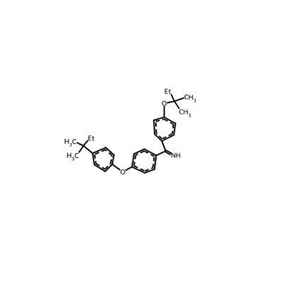 CCC(C)(C)Oc1ccc(C(=N)c2ccc(Oc3ccc(C(C)(C)CC)cc3)cc2)cc1